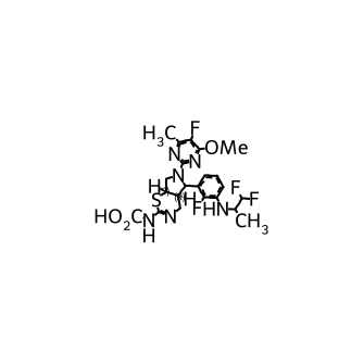 COc1nc(N2C[C@H]3SC(NC(=O)O)=NC[C@@H]3C2c2cccc(NC(C)C(F)F)c2F)nc(C)c1F